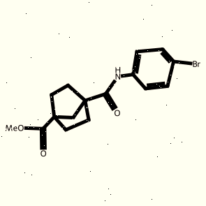 COC(=O)C12CCC(C(=O)Nc3ccc(Br)cc3)(CC1)C2